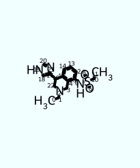 CCN1Cc2c(NS(=O)(=O)CC)cccc2C(c2c[nH]cn2)C1